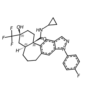 O=C(NC1CC1)[C@]12CC[C@@](O)(C(F)(F)F)C[C@@H]1CCCc1cc3c(cnn3-c3ccc(F)cc3)cc12